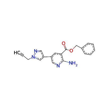 C#CCn1cc(-c2cnc(N)c(C(=O)OCc3ccccc3)c2)cn1